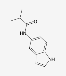 CC(C)C(=O)Nc1ccc2[nH]ccc2c1